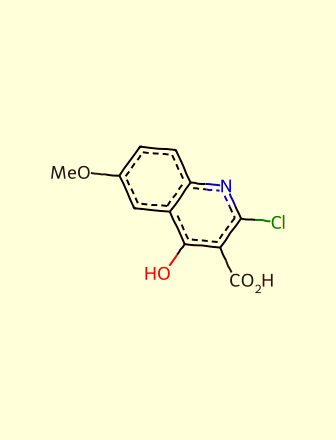 COc1ccc2nc(Cl)c(C(=O)O)c(O)c2c1